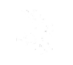 NS(=O)(=O)c1ccc(-c2ccc(C=C3SC(=S)N(Cc4cccc(Br)c4)C3=O)o2)cc1